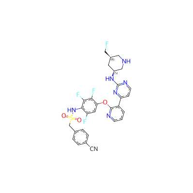 N#Cc1ccc(CS(=O)(=O)Nc2c(F)cc(Oc3ncccc3-c3ccnc(N[C@@H]4CNC[C@H](CF)C4)n3)c(F)c2F)cc1